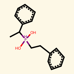 CC(c1ccccc1)[PH](O)(O)CCc1ccccc1